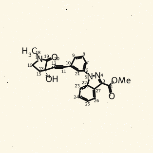 COC(=O)c1nn(-c2cccc(C#C[C@@]3(O)CCN(C)C3=O)c2)c2ccccc12